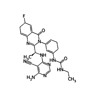 CCNC(=O)NC1=CC(n2c([C@H](C)Nc3ncnc(N)c3C#N)nc3c(c2=O)=CC(F)CC=3)=CCC1